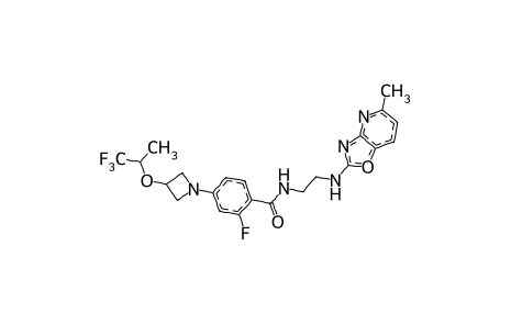 Cc1ccc2oc(NCCNC(=O)c3ccc(N4CC(OC(C)C(F)(F)F)C4)cc3F)nc2n1